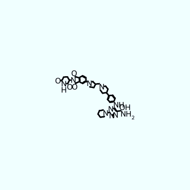 NC(O)c1nnc(N2CCCCC2)nc1Nc1ccc(C2CCN(CC3CCN(c4ccc5c(c4)C(=O)N(C4CCC(=O)NC4=O)C5=O)C3)CC2)cc1